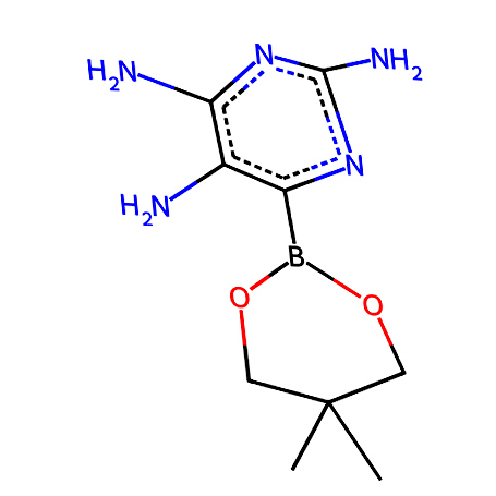 CC1(C)COB(c2nc(N)nc(N)c2N)OC1